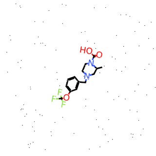 CC1CN(Cc2cccc(OC(F)(F)F)c2)CCN1C(=O)O